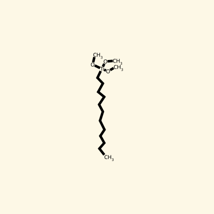 CCCCCCCCCCC[CH2][Ti]([O]C)([O]C)[O]C